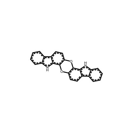 c1ccc2c(c1)[nH]c1c3c(ccc12)Oc1c(ccc2c1[nH]c1ccccc12)O3